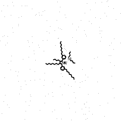 CCCCCCCCC1=C(c2cccc(CCCCCCCC)c2)[N+](=[N-])C(c2cccc(CCCCCCCC)c2)=C1CCCC.CCC[CH2][Ni][CH2]CCC